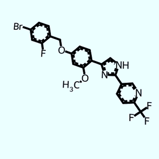 COc1cc(OCc2ccc(Br)cc2F)ccc1-c1c[nH]c(-c2ccc(C(F)(F)F)nc2)n1